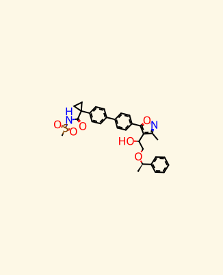 Cc1noc(-c2ccc(-c3ccc(C4(C(=O)NS(C)(=O)=O)CC4)cc3)cc2)c1[C@H](O)CO[C@H](C)c1ccccc1